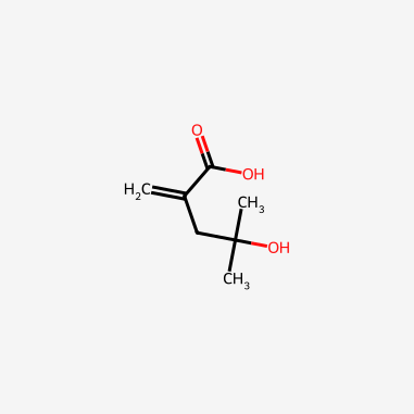 C=C(CC(C)(C)O)C(=O)O